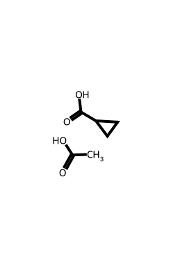 CC(=O)O.O=C(O)C1CC1